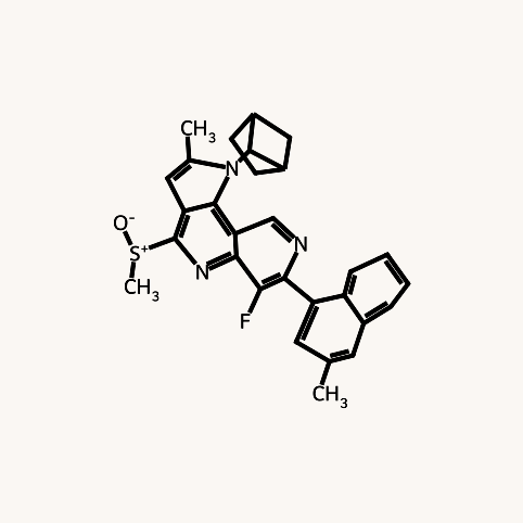 Cc1cc(-c2ncc3c(nc([S+](C)[O-])c4cc(C)n(C5C6CCC5C6)c43)c2F)c2ccccc2c1